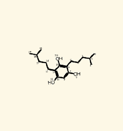 CC(C)CCCc1c(O)cc(O)c(CCCC(C)C)c1O